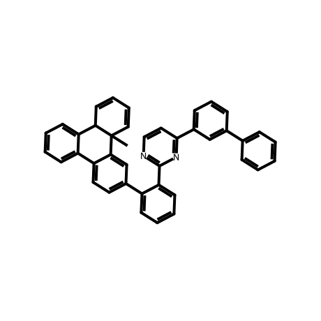 CC12C=CC=CC1c1ccccc1-c1ccc(-c3ccccc3-c3nccc(-c4cccc(-c5ccccc5)c4)n3)cc12